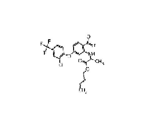 CCCCOC(=O)C(C)Nc1cc(Oc2ccc(C(F)(F)F)cc2Cl)ccc1[N+](=O)[O-]